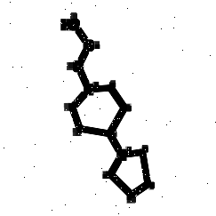 OOON1CCC(N2CCCC2)CC1